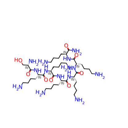 NCCCC[C@H](NC(=O)[C@H](CCCCN)NC(=O)[C@H](CCCCN)NC(=O)[C@H](CCCCN)NC(=O)[C@H](CCCCN)NC(=O)[C@H](CCCCN)NC(=O)[C@@H](N)CO)C(N)=O